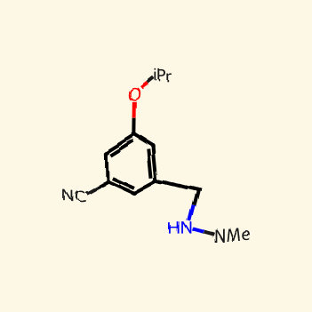 CNNCc1cc(C#N)cc(OC(C)C)c1